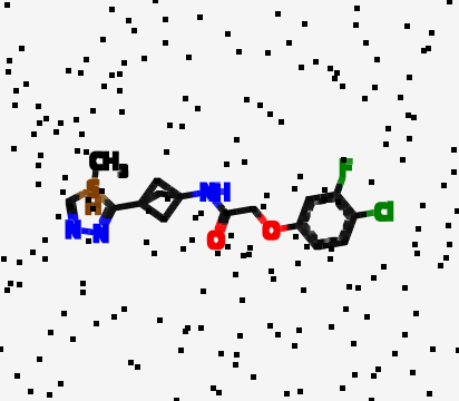 C[SH]1C=NN=C1C12CC(NC(=O)COc3ccc(Cl)c(F)c3)(C1)C2